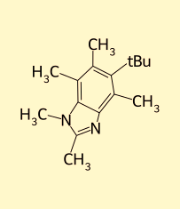 Cc1c(C(C)(C)C)c(C)c2nc(C)n(C)c2c1C